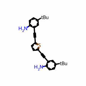 CC(C)(C)c1ccc(N)c(C#Cc2ccc(C#Cc3cc(C(C)(C)C)ccc3N)s2)c1